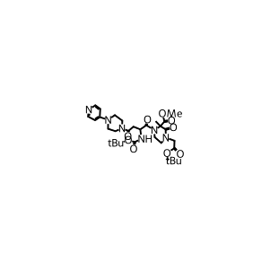 COC(=O)C1(C)C(=O)N(CC(=O)OC(C)(C)C)CCN1C(=O)C(CC(=O)N1CCN(c2ccncc2)CC1)NC(=O)OC(C)(C)C